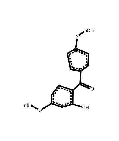 CCCCCCCCSc1ccc(C(=O)c2ccc(OCCCC)cc2O)cc1